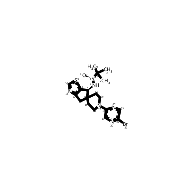 CC(C)(C)[S@@+]([O-])N[C@@H]1c2scnc2CC12CCN(c1cnc(Br)cn1)CC2